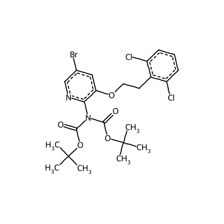 CC(C)(C)OC(=O)N(C(=O)OC(C)(C)C)c1ncc(Br)cc1OCCc1c(Cl)cccc1Cl